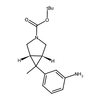 CC(C)(C)OC(=O)N1C[C@@H]2[C@H](C1)C2(C)c1cccc(N)c1